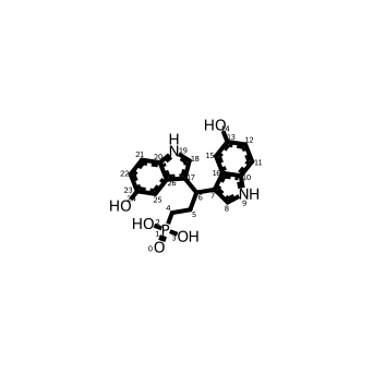 O=P(O)(O)CCC(c1c[nH]c2ccc(O)cc12)c1c[nH]c2ccc(O)cc12